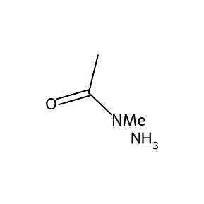 CNC(C)=O.N